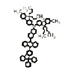 CCCCC1(CCCC)c2cc(C)ccc2-c2ccc(N(c3ccc4c(c3)C(CCCC)(CCCC)c3cc(C)ccc3-4)c3ccc4cc(-c5c6ccccc6c(-c6ccc7c(c6)-c6ccccc6C7(c6ccccc6)c6ccccc6)c6ccccc56)ccc4c3)cc21